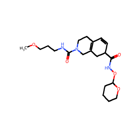 COCCCNC(=O)N1CCC2=C(CC(C(=O)NOC3CCCCO3)C=C2)C1